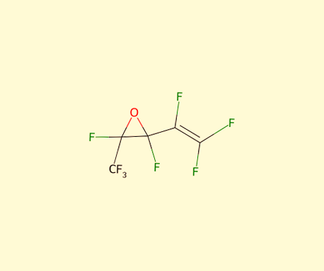 FC(F)=C(F)C1(F)OC1(F)C(F)(F)F